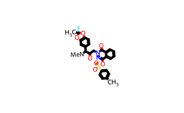 CNC(C(=O)Cn1nc(OS(=O)(=O)c2ccc(C)cc2)c2ccccc2c1=O)c1ccc2c(c1)OC(C)(F)O2